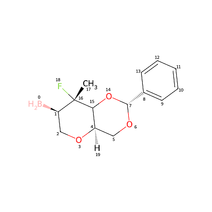 B[C@@H]1CO[C@@H]2CO[C@@H](c3ccccc3)OC2[C@@]1(C)F